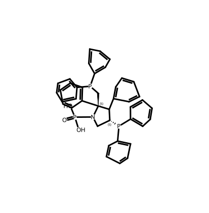 O=P(O)(O)N1C[C@@H](P(c2ccccc2)c2ccccc2)C(c2ccccc2)[C@@]1(CP(c1ccccc1)c1ccccc1)c1ccccc1